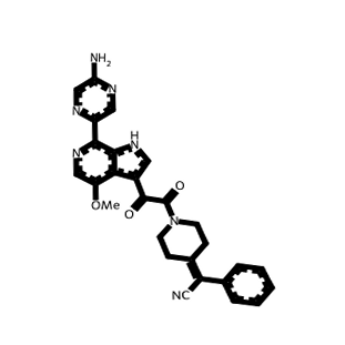 COc1cnc(-c2cnc(N)cn2)c2[nH]cc(C(=O)C(=O)N3CCC(=C(C#N)c4ccccc4)CC3)c12